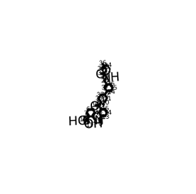 CN(Cc1ccccc1B(O)O)c1cccc(C(=O)N2CCC(c3cccc(CNC(=O)OC(C)(C)C)c3)CC2)c1